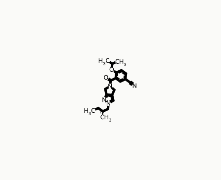 CC[C@H](C)Cn1cc2c(n1)CN(C(=O)c1cc(C#N)ccc1OC(C)C)C2